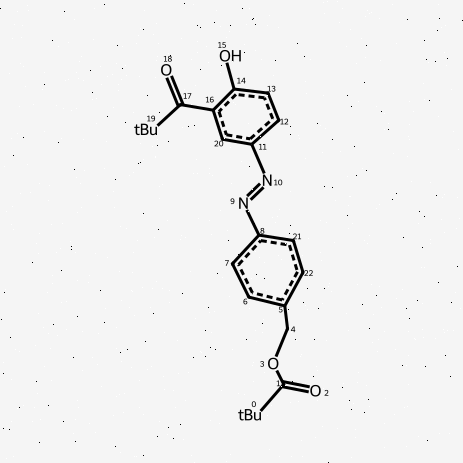 CC(C)(C)C(=O)OCc1ccc(/N=N/c2ccc(O)c(C(=O)C(C)(C)C)c2)cc1